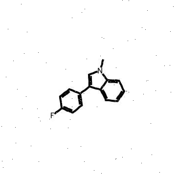 Cn1cc(-c2ccc(F)cc2)c2cc[c]cc21